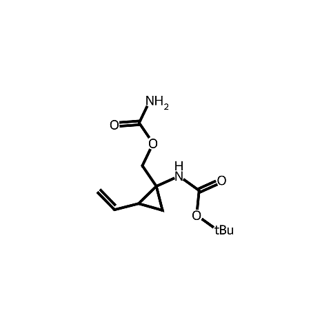 C=CC1CC1(COC(N)=O)NC(=O)OC(C)(C)C